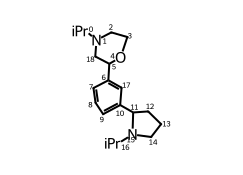 CC(C)N1CCOC(c2cccc(C3CCCN3C(C)C)c2)C1